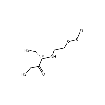 CCSSCCN[C@@H](CS)C(=O)CS